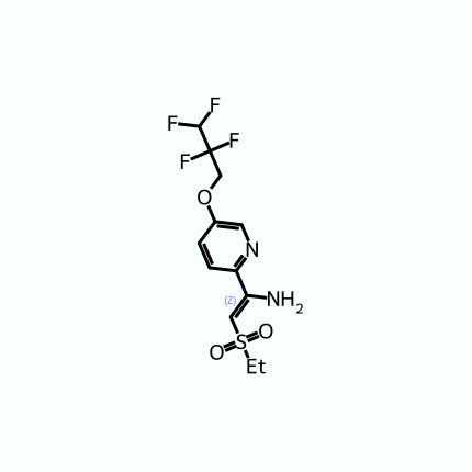 CCS(=O)(=O)/C=C(\N)c1ccc(OCC(F)(F)C(F)F)cn1